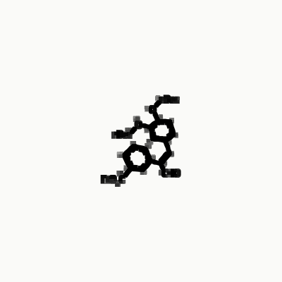 CCCCCCCCCCOc1ccc(C=C(C=O)c2cccc(C(=O)OCC)c2)cc1OCCCCCCCCCC